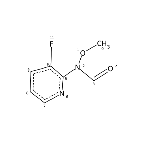 CON(C=O)c1ncc[c]c1F